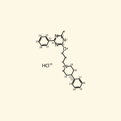 Cc1nc(OCCCN2CCC(c3ccccc3)CC2)nc(-c2ccccc2)n1.Cl